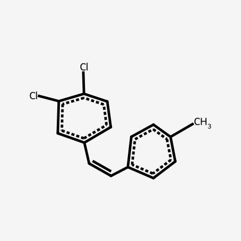 Cc1ccc(/C=C\c2ccc(Cl)c(Cl)c2)cc1